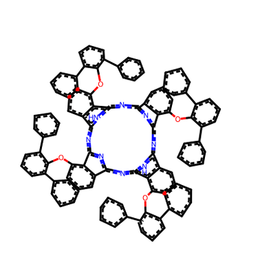 c1ccc(-c2cccc(-c3ccccc3)c2Oc2cccc3c2-c2nc-3nc3[nH]c(nc4nc(nc5[nH]c(n2)c2cccc(Oc6c(-c7ccccc7)cccc6-c6ccccc6)c52)-c2cccc(Oc5c(-c6ccccc6)cccc5-c5ccccc5)c2-4)c2cccc(Oc4c(-c5ccccc5)cccc4-c4ccccc4)c32)cc1